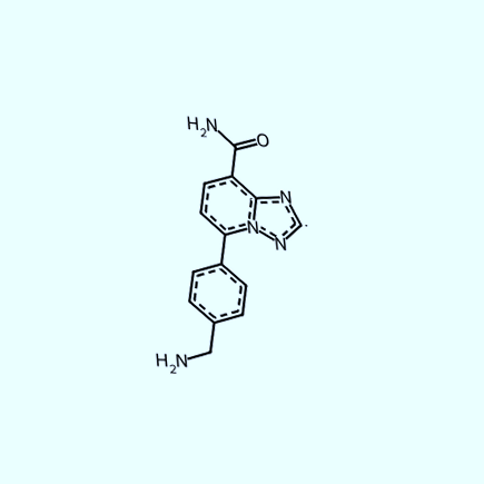 NCc1ccc(-c2ccc(C(N)=O)c3n[c]nn23)cc1